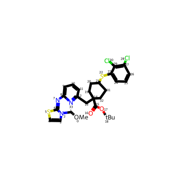 COCn1ccsc1=Nc1cccc(CC2(C(=O)OC(C)(C)C)CCC(Sc3cccc(Cl)c3Cl)CC2)n1